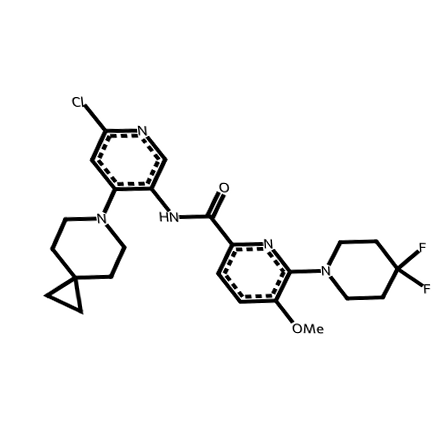 COc1ccc(C(=O)Nc2cnc(Cl)cc2N2CCC3(CC2)CC3)nc1N1CCC(F)(F)CC1